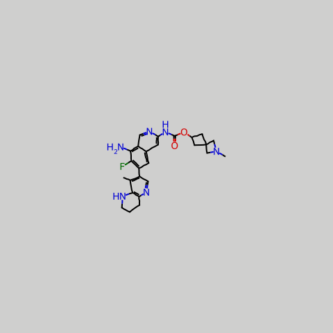 Cc1c(-c2cc3cc(NC(=O)OC4CC5(C4)CN(C)C5)ncc3c(N)c2F)cnc2c1NCCC2